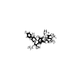 CC(C(O)c1cc(Cl)c(O[Si](C(C)C)(C(C)C)C(C)C)c(Cl)c1)N1CCC(O)(c2ccc(F)cc2)CC1